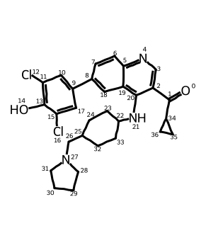 O=C(c1cnc2ccc(-c3cc(Cl)c(O)c(Cl)c3)cc2c1NC1CCC(CN2CCCC2)CC1)C1CC1